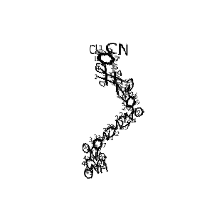 CC1(C)C(Oc2ccc(C#N)c(Cl)c2)C(C)(C)C1N1Cc2cc(C(=O)N3CCN(C4CCN(c5ccc6c(c5)C(=O)N(C5CCC(=O)NC5=O)C6=O)CC4)CC3)ccc2C1=O